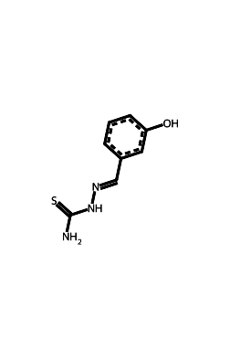 NC(=S)NN=Cc1cccc(O)c1